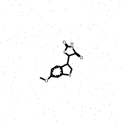 COc1ccc2c(c1)SCC2C1SC(=O)NC1=O